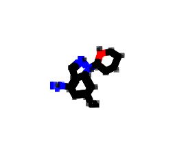 N#Cc1cc(N)c2cnn(C3CCCCO3)c2c1